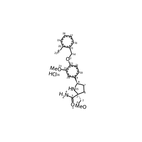 COC[C@@]1(C(N)=O)CC[C@H](c2ccc(OCc3ccccc3F)c(OC)c2)N1.Cl